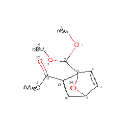 CCCCOC(OCCCC)C12C=CC(CC1C(=O)OC)O2